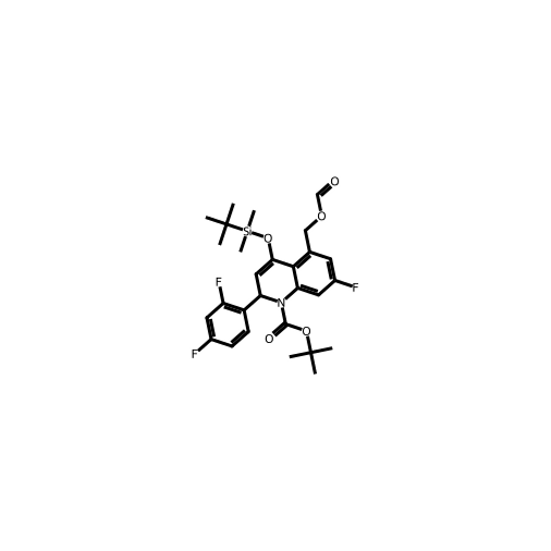 CC(C)(C)OC(=O)N1c2cc(F)cc(COC=O)c2C(O[Si](C)(C)C(C)(C)C)=CC1c1ccc(F)cc1F